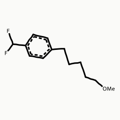 COCCCCCc1ccc(C(F)F)cc1